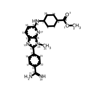 COC(=O)C1CCC(Nc2ccc3nc(-c4ccc(C(=N)N)cc4)n(C)c3n2)CC1